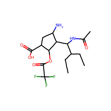 CCC(CC)C(NC(C)=O)C1C(N)CC(C(=O)O)C1OC(=O)C(F)(F)F